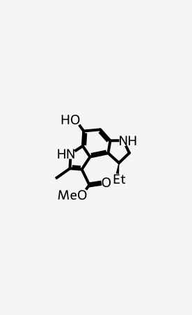 CC[C@@H]1CNc2cc(O)c3[nH]c(C)c(C(=O)OC)c3c21